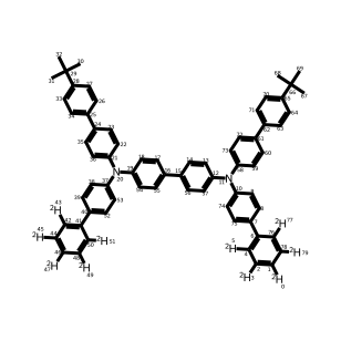 [2H]c1c([2H])c([2H])c(-c2ccc(N(c3ccc(-c4ccc(N(c5ccc(-c6ccc(C(C)(C)C)cc6)cc5)c5ccc(-c6c([2H])c([2H])c([2H])c([2H])c6[2H])cc5)cc4)cc3)c3ccc(-c4ccc(C(C)(C)C)cc4)cc3)cc2)c([2H])c1[2H]